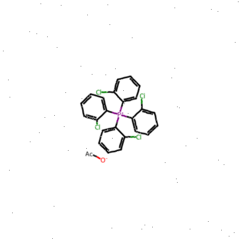 CC(=O)[O-].Clc1ccccc1[P+](c1ccccc1Cl)(c1ccccc1Cl)c1ccccc1Cl